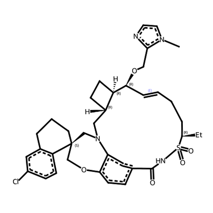 CC[C@@H]1CC/C=C/[C@H](OCc2nccn2C)[C@@H]2CC[C@H]2CN2C[C@@]3(CCCc4cc(Cl)ccc43)COc3ccc(cc32)C(=O)NS1(=O)=O